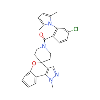 Cc1ccc(C)n1-c1cc(Cl)ccc1C(=O)N1CCC2(CC1)Oc1ccccc1-c1c2cnn1C